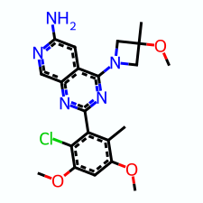 COc1cc(OC)c(Cl)c(-c2nc(N3CC(C)(OC)C3)c3cc(N)ncc3n2)c1C